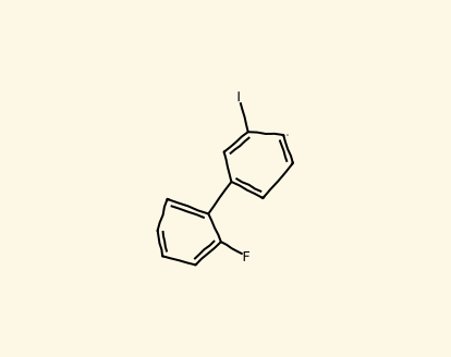 Fc1ccccc1-c1cc[c]c(I)c1